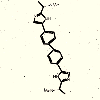 CN[C@@H](C)c1ncc(-c2ccc(-c3ccc(-c4cnc([C@H](C)NC)[nH]4)cc3)cc2)[nH]1